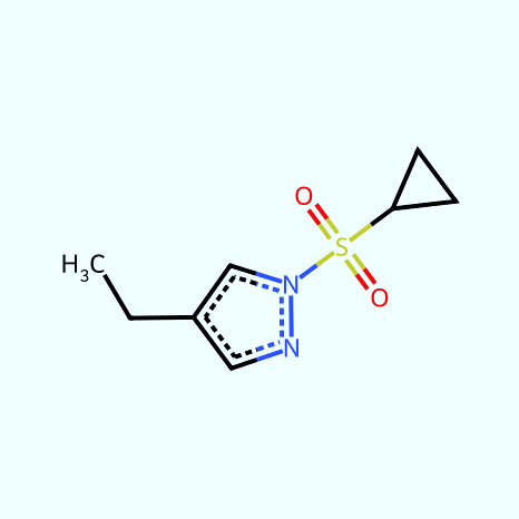 CCc1cnn(S(=O)(=O)C2CC2)c1